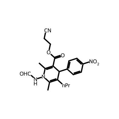 CCCC1=C(C)N(NC=O)C(C)=C(C(=O)OCCC#N)C1c1ccc([N+](=O)[O-])cc1